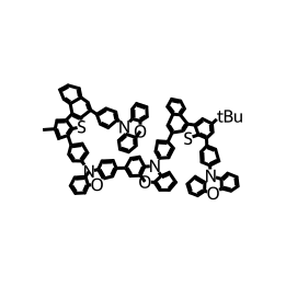 Cc1cc(-c2ccc(N3c4ccccc4Oc4cc(-c5ccc6c(c5)Oc5ccccc5N6c5ccc(-c6cc7ccccc7c7c6sc6c(-c8ccc(N9c%10ccccc%10Oc%10ccccc%109)cc8)cc(C(C)(C)C)cc67)cc5)ccc43)cc2)c2sc3c(-c4ccc(N5c6ccccc6Oc6ccccc65)cc4)cc4ccccc4c3c2c1